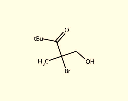 CC(C)(C)C(=O)C(C)(Br)CO